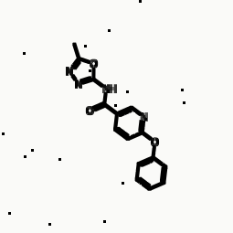 Cc1nnc(NC(=O)c2ccc(Oc3ccccc3)nc2)o1